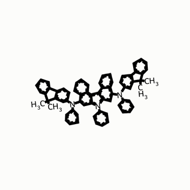 CC1(C)c2ccccc2-c2ccc(N(c3ccccc3)c3cc4c(c5ccccc35)c3c5ccccc5c(N(c5ccccc5)c5ccc6c(c5)C(C)(C)c5ccccc5-6)cc3n4-c3ccccc3)cc21